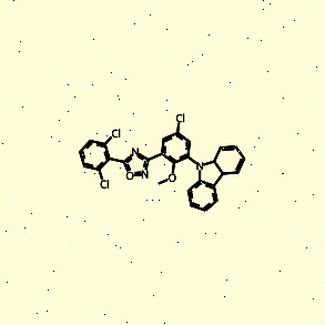 COc1c(-c2noc(-c3c(Cl)cccc3Cl)n2)cc(Cl)cc1N1c2ccccc2C2C=CC=CC21